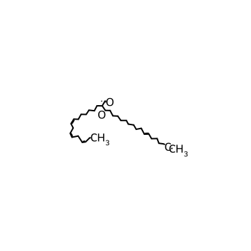 CC/C=C\C/C=C\C/C=C\CCCCCCC([C]=O)C(=O)CCCCCCCCCC=CCCCCCC